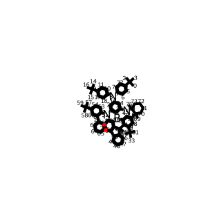 CC(C)(C)c1ccc(N(c2ccc(C(C)(C)C)cc2)c2cc3c4c(c2)N2c5c(cc(C(C)(C)C)c6c5B4c4c(ccc5c4C6(C)c4ccccc4-5)N3c3ccc(C(C)(C)C)cc3-c3ccccc3)C3(C)CCCCC23C)cc1